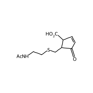 CC(=O)NCCSCC1C(=O)C=CC1C(=O)O